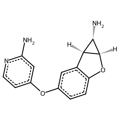 Nc1cc(Oc2ccc3c(c2)[C@H]2[C@H](N)[C@H]2O3)ccn1